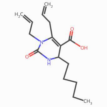 C=CCC1=C(C(=O)O)C(CCCCC)NC(=O)N1CC=C